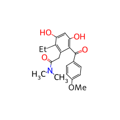 CCc1c(O)cc(O)c(C(=O)c2ccc(OC)cc2)c1CC(=O)N(C)C